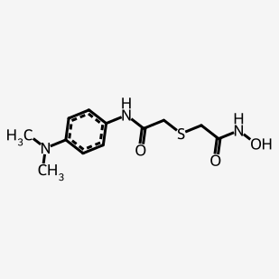 CN(C)c1ccc(NC(=O)CSCC(=O)NO)cc1